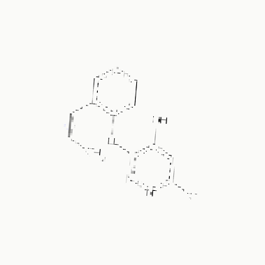 C/C=C\c1ccccc1Oc1nnc(Cl)cc1O